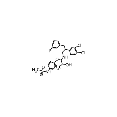 CC(O)C(NCC(Cc1cccc(F)c1)c1ccc(Cl)c(Cl)c1)Oc1ccc(NS(C)(=O)=O)cc1